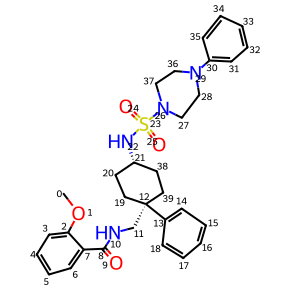 COc1ccccc1C(=O)NC[C@]1(c2ccccc2)CC[C@H](NS(=O)(=O)N2CCN(c3ccccc3)CC2)CC1